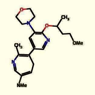 CNC1=CCC(c2cnc(OC(C)CCOC)c(N3CCOCC3)c2)=C(C)N=C1